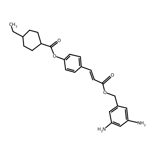 CCC1CCC(C(=O)Oc2ccc(/C=C/C(=O)OCc3cc(N)cc(N)c3)cc2)CC1